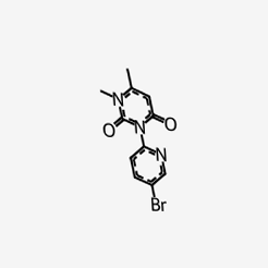 Cc1cc(=O)n(-c2ccc(Br)cn2)c(=O)n1C